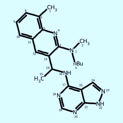 CCCCN(C)c1nc2c(C)cccc2cc1C(C)Nc1ncnc2[nH]ncc12